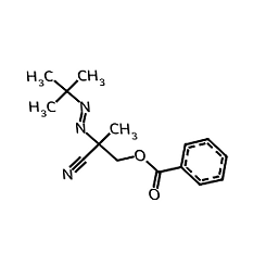 CC(C)(C)N=NC(C)(C#N)COC(=O)c1ccccc1